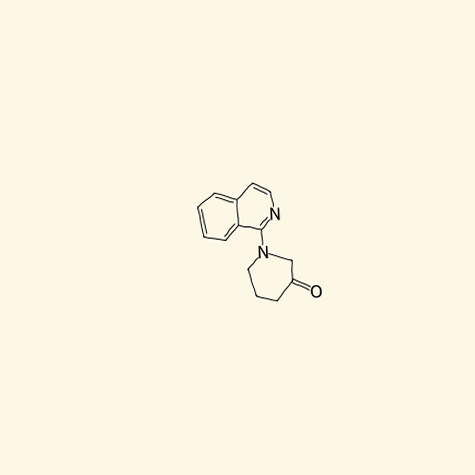 O=C1CCCN(c2nccc3ccccc23)C1